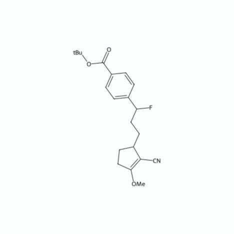 COC1=C(C#N)C(CCC(F)c2ccc(C(=O)OC(C)(C)C)cc2)CC1